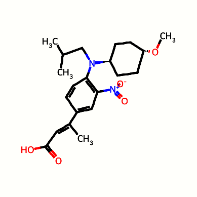 CO[C@H]1CC[C@H](N(CC(C)C)c2ccc(/C(C)=C/C(=O)O)cc2[N+](=O)[O-])CC1